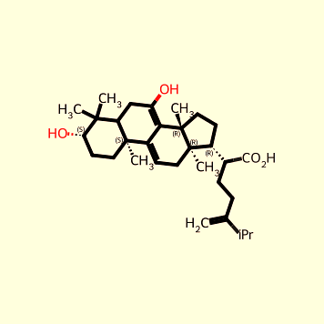 C=C(CCC(C(=O)O)[C@H]1CC[C@@]2(C)C3=C(O)CC4C(C)(C)[C@@H](O)CC[C@]4(C)C3=CC[C@]12C)C(C)C